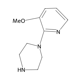 COc1cccnc1N1CCNCC1